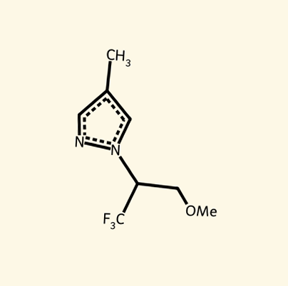 COCC(n1cc(C)cn1)C(F)(F)F